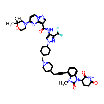 Cn1c(=O)n(C2CCC(=O)NC2=O)c2cccc(C#CCC3CCN(C[C@H]4CC[C@H](n5cc(NC(=O)c6cnn7ccc(N8CCOC(C)(C)C8)nc67)c(C(F)F)n5)CC4)CC3)c21